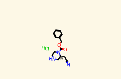 Cl.N#CC[C@H]1CNCCN1C(=O)OCc1ccccc1